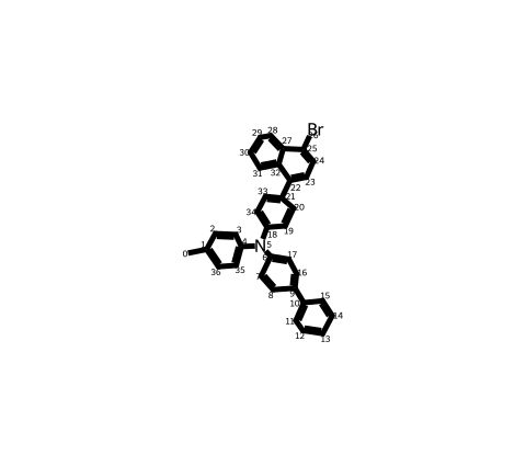 Cc1ccc(N(c2ccc(-c3ccccc3)cc2)c2ccc(-c3ccc(Br)c4ccccc34)cc2)cc1